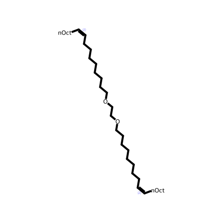 CCCCCCCC/C=C\CCCCCCCCOCCOCCCCCCCC/C=C\CCCCCCCC